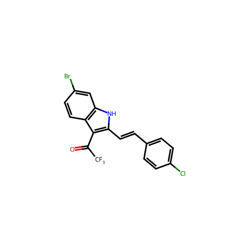 O=C(c1c(C=Cc2ccc(Cl)cc2)[nH]c2cc(Br)ccc12)C(F)(F)F